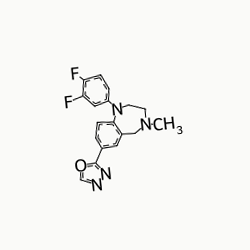 CN1CCN(c2ccc(F)c(F)c2)c2ccc(-c3nnco3)cc2C1